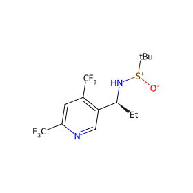 CC[C@H](N[S+]([O-])C(C)(C)C)c1cnc(C(F)(F)F)cc1C(F)(F)F